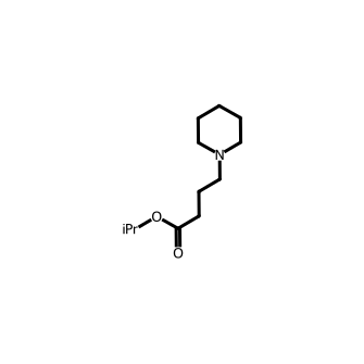 CC(C)OC(=O)CCCN1CCCCC1